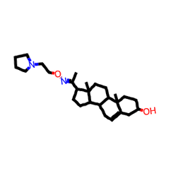 C/C(=N\OCCN1CCCC1)C1CCC2C3CC=C4CC(O)CCC4(C)C3CCC12C